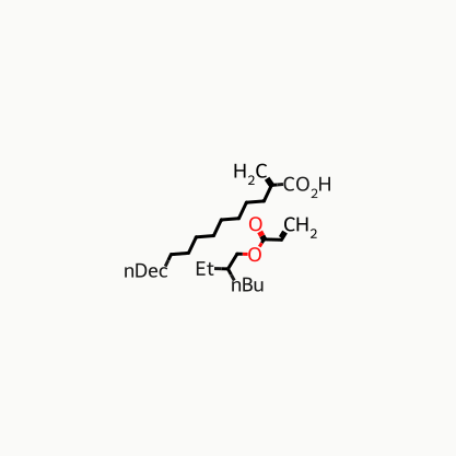 C=C(CCCCCCCCCCCCCCCCCC)C(=O)O.C=CC(=O)OCC(CC)CCCC